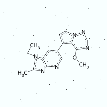 CCn1c(C)nc2ncc(-c3ccn4ncnc(OC)c34)cc21